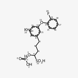 O=[PH](O)OC(CCCc1cccc(Oc2ccccc2F)c1)S(=O)(=O)O.[KH]